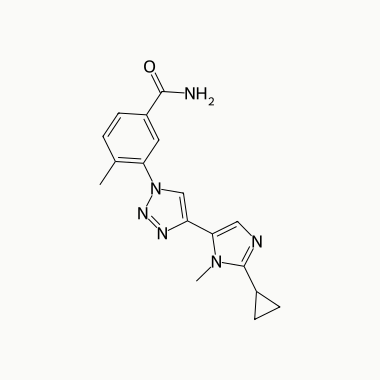 Cc1ccc(C(N)=O)cc1-n1cc(-c2cnc(C3CC3)n2C)nn1